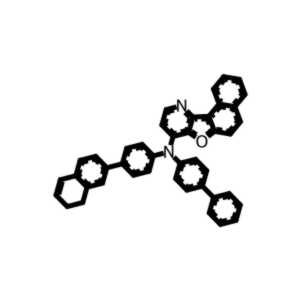 C1=Cc2ccc(-c3ccc(N(c4ccc(-c5ccccc5)cc4)c4ccnc5c4oc4ccc6ccccc6c45)cc3)cc2CC1